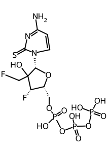 Nc1ccn([C@@H]2O[C@H](COP(=O)(O)OP(=O)(O)OP(=O)(O)O)[C@H](F)C2(O)CF)c(=S)n1